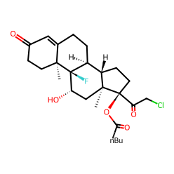 CCCCC(=O)O[C@]1(C(=O)CCl)CC[C@H]2[C@@H]3CCC4=CC(=O)CC[C@]4(C)[C@@]3(F)[C@@H](O)C[C@@]21C